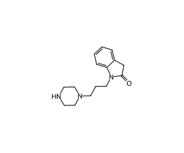 O=C1Cc2ccccc2N1CCCN1CCNCC1